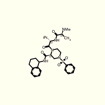 CN[C@@H](C)C(=O)N[C@H](C(=O)N1CCN(S(=O)(=O)c2ccccc2)C[C@H]1C(=O)NC1CCCc2ccccc21)C(C)C